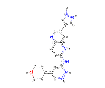 Cn1cc(-c2cnc3ccc(Nc4cc(C5CCOCC5)cnn4)nc3c2)cn1